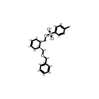 Cc1ccc(S(=O)(=O)OC[C@@H]2CC=CC[C@@H]2COCc2ccccc2)cc1